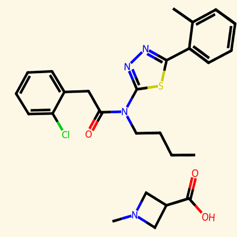 CCCCN(C(=O)Cc1ccccc1Cl)c1nnc(-c2ccccc2C)s1.CN1CC(C(=O)O)C1